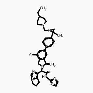 C=C1c2cc(-c3ccc(C4(C)CN4CN4CCC(CC)CC4)cc3)cc(Cl)c2CN1C(C(=S)Nc1nccs1)c1ncn2c1CCC2